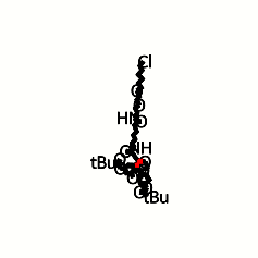 CC(C)(C)C(=O)Oc1ccc2c(c1)Oc1cc(OC(=O)C(C)(C)C)ccc1C21OCOc2cc(C(=O)NCCCCCC(=O)NCCOCCOCCCCCCCl)ccc21